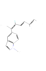 CC(/C=C/C(F)=C(/C)c1ccc2c(ccn2C(C)C)c1)=C\C(=O)O